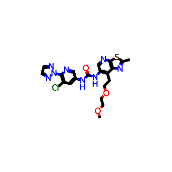 COCCOCCc1c(NC(=O)Nc2cnc(-n3nccn3)c(Cl)c2)cnc2sc(C)nc12